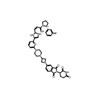 N=C(/C=C\C1NC=C(c2cccc(N3CCN(C4CN(c5ccc6c(c5)C(=O)N(C5CCC(=O)NC5=O)C6=O)C4)CC3)n2)N1)N1CCC[C@@H]1c1cccc(F)c1